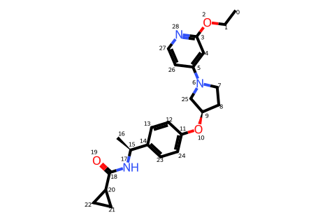 CCOc1cc(N2CC[C@@H](Oc3ccc([C@H](C)NC(=O)C4CC4)cc3)C2)ccn1